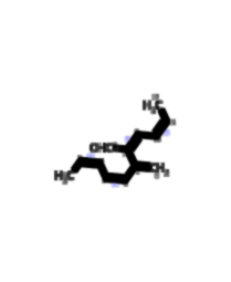 C=C(/C=C\C=C/C)/C(C=O)=C\C=C/C